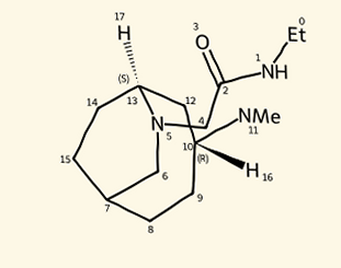 CCNC(=O)CN1CC2CC[C@@H](NC)C[C@@H]1CC2